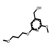 COCCCOc1cc(CO)cc(OC)n1